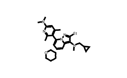 C1CCOCC1.CCc1nn2c(-c3c(C)cc(N(C)C)nc3C)cccc2c1N(C)CC1CC1